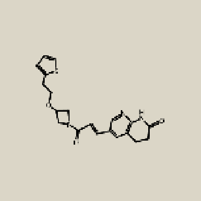 O=C1CCc2cc(C=CC(=O)N3CC(OCCc4cccs4)C3)cnc2N1